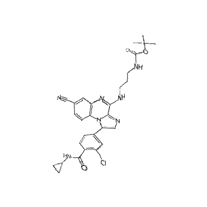 CC(C)(C)OC(=O)NCCCNc1nc2cc(C#N)ccc2n2c(-c3ccc(C(=O)NC4CC4)c(Cl)c3)cnc12